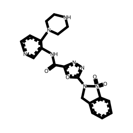 O=C(Nc1cnccc1N1CCNCC1)c1nnc(N2Cc3ccccc3S2(=O)=O)o1